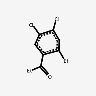 CCC(=O)c1cc(Cl)c(Cl)cc1CC